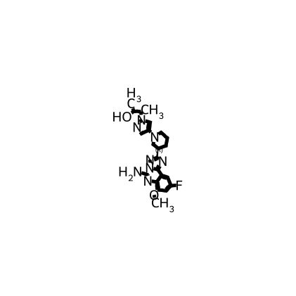 COc1cc(F)cc2c1nc(N)n1nc([C@@H]3CCCN(c4cnn(C(C)C(C)O)c4)C3)nc21